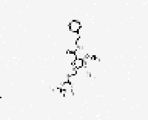 CO[C@H]1[C@H](OC)C(C(=O)NCCc2ccccc2)O[C@@H]1CNC(=O)OC(C)(C)C